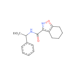 CCOC(=O)C(NC(=O)c1noc2c1CCCC2)c1ccccc1